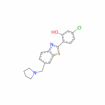 Oc1cc(Cl)ccc1-c1nc2ccc(CN3CCCC3)cc2s1